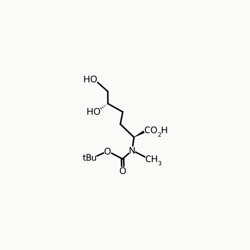 CN(C(=O)OC(C)(C)C)[C@@H](CC[C@H](O)CO)C(=O)O